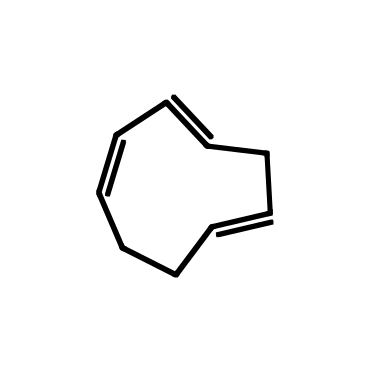 C1=C\CC/C=C/C/C=C/1